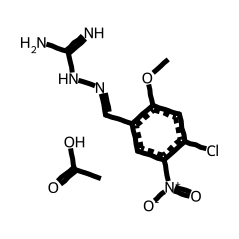 CC(=O)O.COc1cc(Cl)c([N+](=O)[O-])cc1/C=N/NC(=N)N